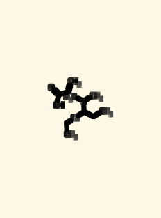 C=CC(=O)O.C[CH2][Ca][CH](CC)N(C)C